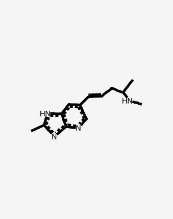 CNC(C)C/C=C/c1cnc2nc(C)[nH]c2c1